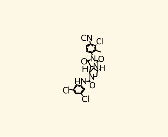 Cc1c(N2C(=O)[C@@H]3C4C[C@H](CN4C(=O)Nc4cc(Cl)cc(Cl)c4)N3C2=O)ccc(C#N)c1Cl